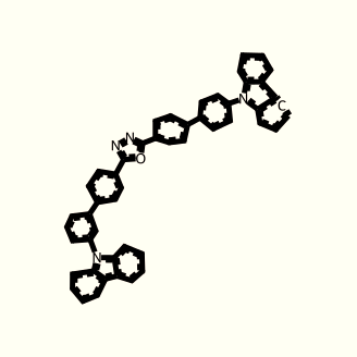 c1cc(-c2ccc(-c3nnc(-c4ccc(-c5ccc(-n6c7ccccc7c7ccccc76)cc5)cc4)o3)cc2)cc(-n2c3ccccc3c3ccccc32)c1